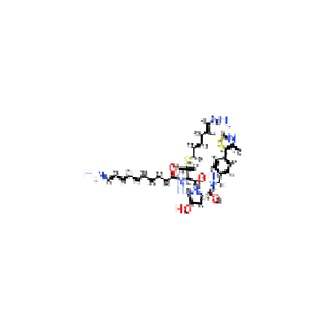 Cc1ncsc1-c1ccc(CNC(=O)[C@@H]2C[C@@H](O)CN2C(=O)C(NC(=O)CCCCCCCCCN)C(C)(C)SCCCCCCN)cc1